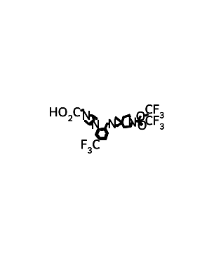 O=C(O)CN1CC2CC1CN2c1cc(C(F)(F)F)ccc1CN1CC2(CCN(C(=O)OC(C(F)(F)F)C(F)(F)F)CC2)C1